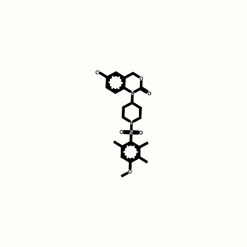 COc1cc(C)c(S(=O)(=O)N2CCC(N3C(=O)OCc4cc(Cl)ccc43)CC2)c(C)c1C